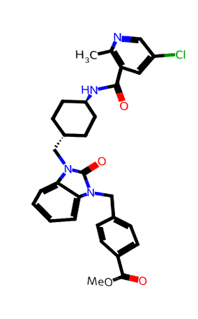 COC(=O)c1ccc(Cn2c(=O)n(C[C@H]3CC[C@H](NC(=O)c4cc(Cl)cnc4C)CC3)c3ccccc32)cc1